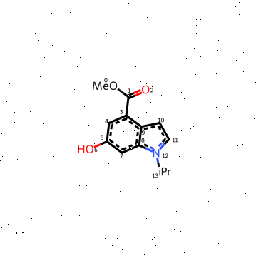 COC(=O)c1cc(O)cc2c1ccn2C(C)C